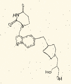 O=C1CCN(c2cnn3ccc(CC4CCN(CC(CO)CO)CC4)cc23)C(=O)N1